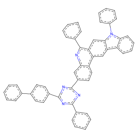 c1ccc(-c2ccc(-c3nc(-c4ccccc4)nc(-c4ccc5c(c4)nc(-c4ccccc4)c4cc6c(cc45)c4ccccc4n6-c4ccccc4)n3)cc2)cc1